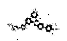 COc1ccc([C@H]2CC[C@H](CN(c3cccc(-c4cnn(CCN(C)C)c4)c3)C(=O)[C@H]3CC[C@H](O)CC3)CC2)cc1C